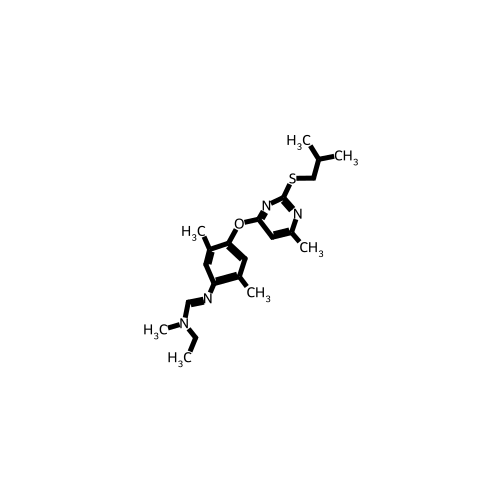 CCN(C)C=Nc1cc(C)c(Oc2cc(C)nc(SCC(C)C)n2)cc1C